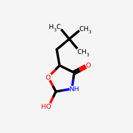 CC(C)(C)CC1OC(O)NC1=O